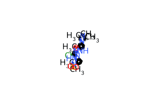 COc1cc(N2C[C@@H](C)N(C)[C@@H](C)C2)ccc1Nc1ncc(Cl)c(Nc2ccccc2N(C)S(C)(=O)=O)n1